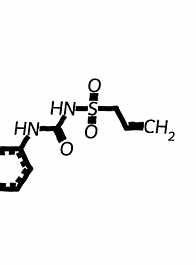 C=CCS(=O)(=O)NC(=O)Nc1ccccc1